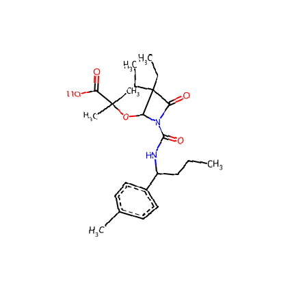 CCCC(NC(=O)N1C(=O)C(CC)(CC)C1OC(C)(C)C(=O)O)c1ccc(C)cc1